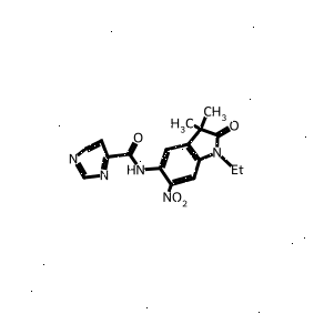 CCN1C(=O)C(C)(C)c2cc(NC(=O)c3ccncn3)c([N+](=O)[O-])cc21